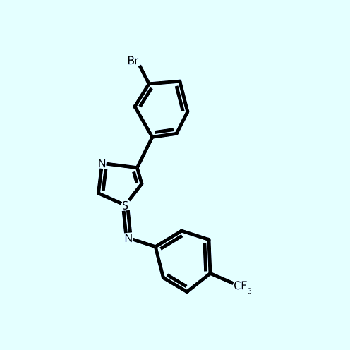 FC(F)(F)c1ccc(N=S2C=NC(c3cccc(Br)c3)=C2)cc1